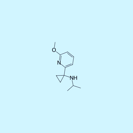 COc1cccc(C2(NC(C)C)CC2)n1